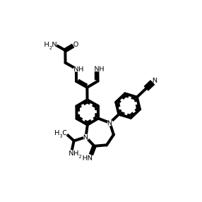 CC(N)N1C(=N)CCN(c2ccc(C#N)cc2)c2cc(/C(C=N)=C/NCC(N)=O)ccc21